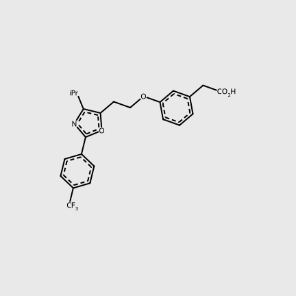 CC(C)c1nc(-c2ccc(C(F)(F)F)cc2)oc1CCOc1cccc(CC(=O)O)c1